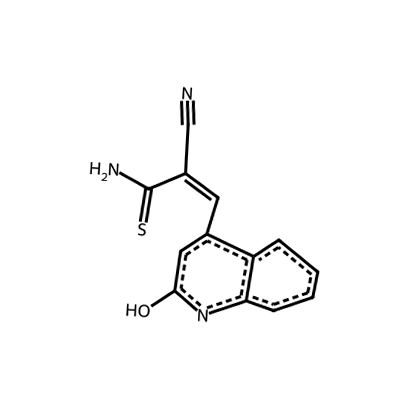 N#CC(=Cc1cc(O)nc2ccccc12)C(N)=S